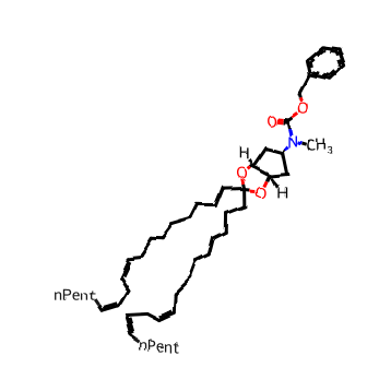 CCCCC/C=C\C/C=C\CCCCCCCCC1(CCCCCCCC/C=C\C/C=C\CCCCC)O[C@H]2C[C@H](N(C)C(=O)OCc3ccccc3)C[C@H]2O1